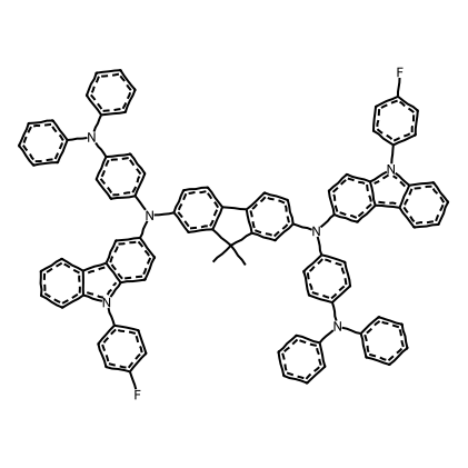 CC1(C)c2cc(N(c3ccc(N(c4ccccc4)c4ccccc4)cc3)c3ccc4c(c3)c3ccccc3n4-c3ccc(F)cc3)ccc2-c2ccc(N(c3ccc(N(c4ccccc4)c4ccccc4)cc3)c3ccc4c(c3)c3ccccc3n4-c3ccc(F)cc3)cc21